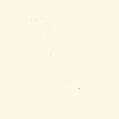 CCCC/C=C\CCCCCC(O)OC(=O)CC